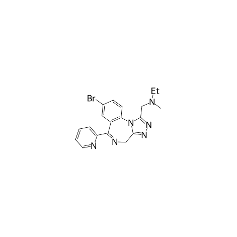 CCN(C)Cc1nnc2n1-c1ccc(Br)cc1C(c1ccccn1)=NC2